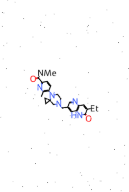 CCc1cc2ncc(CN3CCN(c4ccc(C(=O)NC)nc4C)C4(CC4)C3)cc2[nH]c1=O